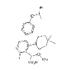 Cc1ncc(-c2ccc(OC(C)C(C)C)cc2)c(N2CCC(C)(C)CC2)c1C(OC(C)(C)C)C(=O)O